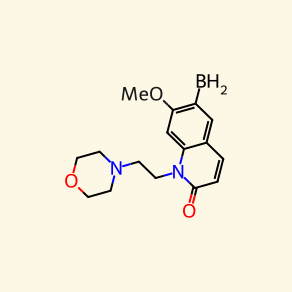 Bc1cc2ccc(=O)n(CCN3CCOCC3)c2cc1OC